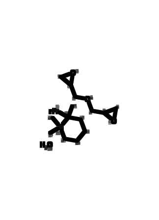 C(OCC1CO1)C1CO1.CCCC1(C)CCCC[Si]1(C)C.O